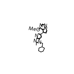 COc1ncnn2ccc(-c3cnc4nc(C)n(CC5CCCCC5)c4c3)c12